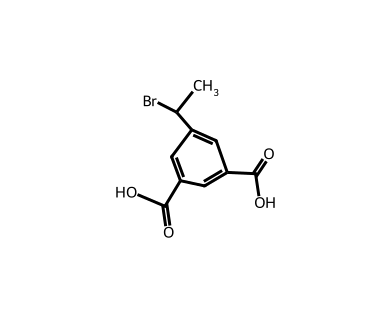 CC(Br)c1cc(C(=O)O)cc(C(=O)O)c1